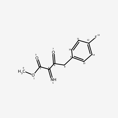 COC(=O)C(=N)C(=O)Cc1ccc(F)cc1